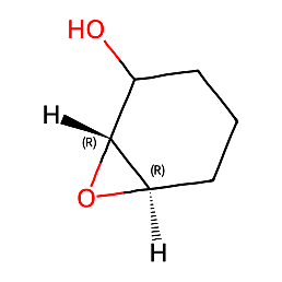 OC1CCC[C@H]2O[C@H]12